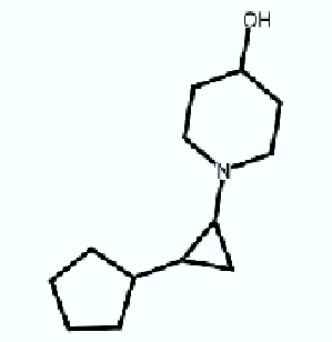 OC1CCN(C2CC2C2CCCC2)CC1